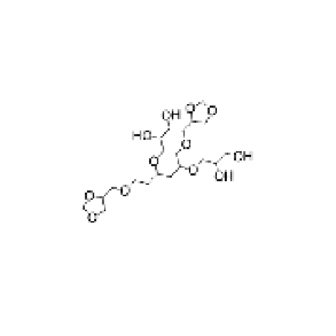 OCC(O)COC(CCOCC1COCO1)CC(COCC1COCO1)OCC(O)CO